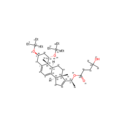 CC[Si](CC)(CC)O[C@@H]1CC2=CC=C3[C@H](CC[C@]4(C)C([C@H](C)OC(=O)CCC(C)(C)O)=CC[C@@H]34)[C@@]2(C)[C@@H](O[Si](CC)(CC)CC)C1